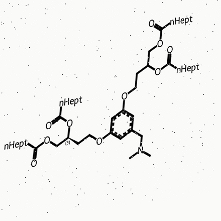 CCCCCCCC(=O)OCC(CCOc1cc(CN(C)C)cc(OCC[C@@H](COC(=O)CCCCCCC)OC(=O)CCCCCCC)c1)OC(=O)CCCCCCC